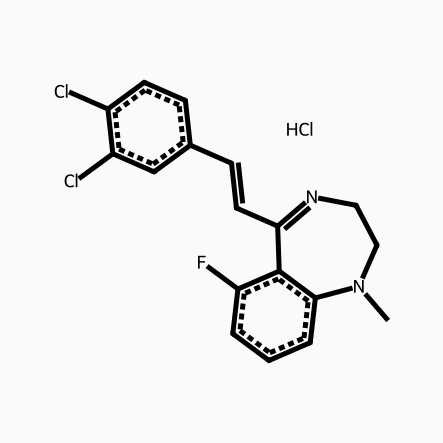 CN1CCN=C(C=Cc2ccc(Cl)c(Cl)c2)c2c(F)cccc21.Cl